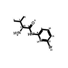 CC(C)[C@H](N)C(=O)Nc1cccc(Br)n1